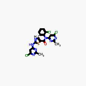 Cc1nc(Cl)cc(Nc2ncc(C(=O)N(c3cc(Cl)nc(C)n3)c3c(C)cccc3Cl)s2)n1